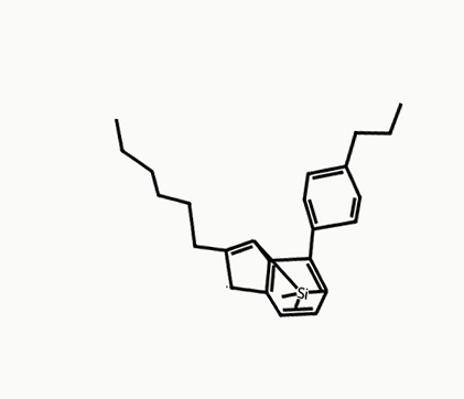 CCCCCCC1=C2c3c(ccc(c3-c3ccc(CCC)cc3)[Si]2(C)C)[CH]1